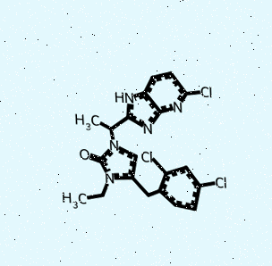 CCn1c(Cc2ccc(Cl)cc2Cl)cn(C(C)c2nc3nc(Cl)ccc3[nH]2)c1=O